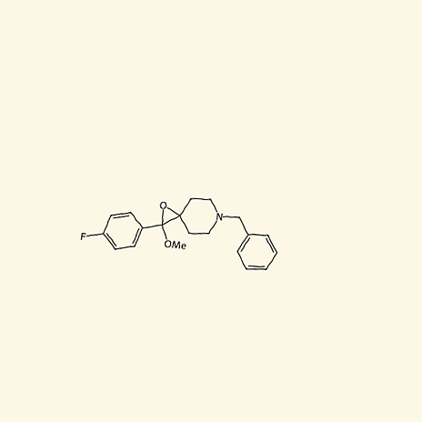 COC1(c2ccc(F)cc2)OC12CCN(Cc1ccccc1)CC2